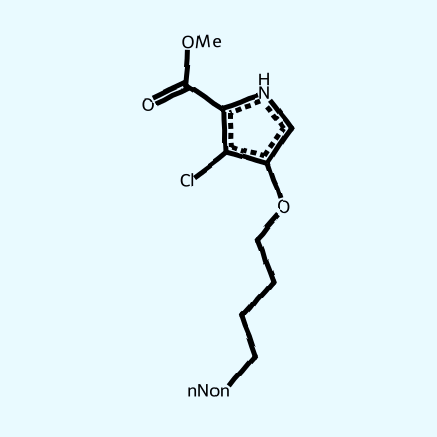 CCCCCCCCCCCCCOc1c[nH]c(C(=O)OC)c1Cl